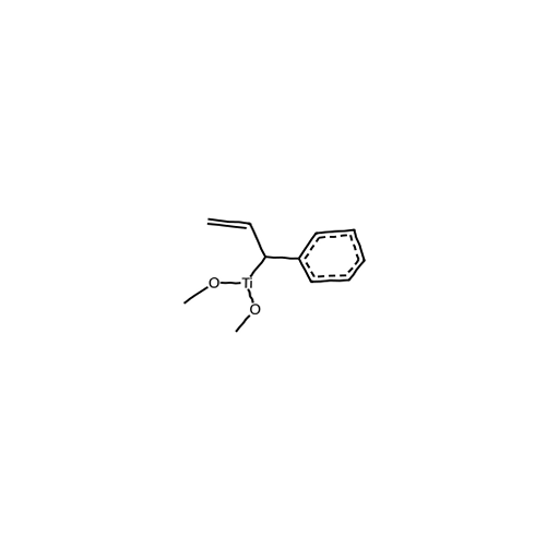 C=C[CH](c1ccccc1)[Ti]([O]C)[O]C